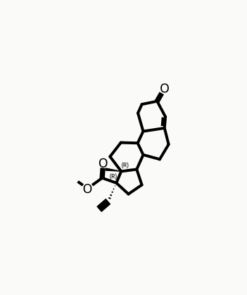 C#C[C@@]1(C(=O)OC)CCC2C3CCC4=CC(=O)CCC4C3CC[C@]21C